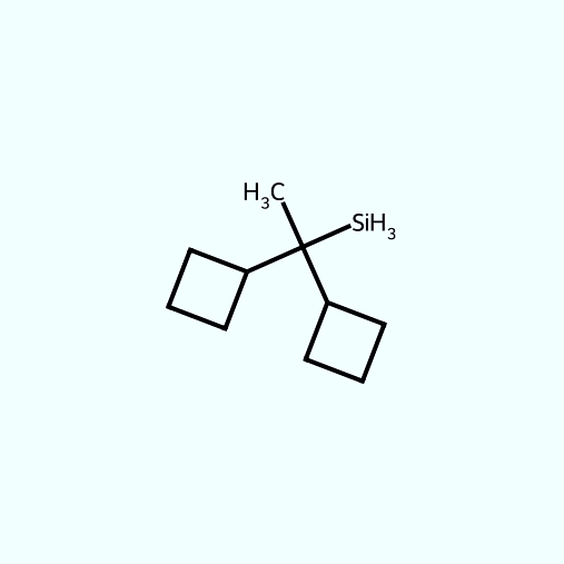 CC([SiH3])(C1CCC1)C1CCC1